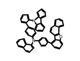 c1ccc(-n2c3ccccc3c3ccccc32)c(-c2ccc(N(c3ccc(-c4cccc5oc6c7ccccc7ccc6c45)cc3)c3cccc4ccccc34)cc2)c1